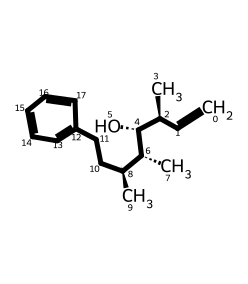 C=C[C@H](C)[C@@H](O)[C@H](C)[C@@H](C)CCc1ccccc1